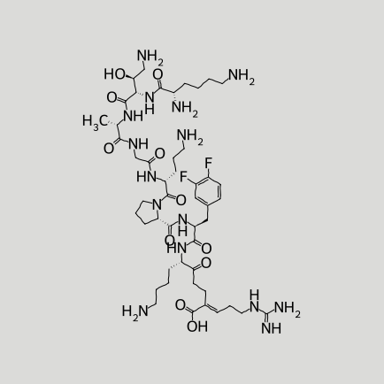 C[C@H](NC(=O)[C@@H](NC(=O)[C@@H](N)CCCCN)[C@@H](O)CN)C(=O)NCC(=O)N[C@H](CCCN)C(=O)N1CCC[C@H]1C(=O)N[C@@H](Cc1ccc(F)c(F)c1)C(=O)N[C@@H](CCCCN)C(=O)CC/C(=C\CCNC(=N)N)C(=O)O